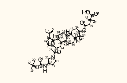 C=C(C)[C@@H]1CC[C@]2(CC(=O)N3CC[C@H](NC(=O)OC(C)(C)C)C3)CC[C@]3(C)[C@H](CC[C@@H]4[C@@]5(C)CC[C@H](OC(=O)CC(C)(C)C(=O)O)C(C)(C)[C@@H]5CC[C@]43C)[C@@H]12